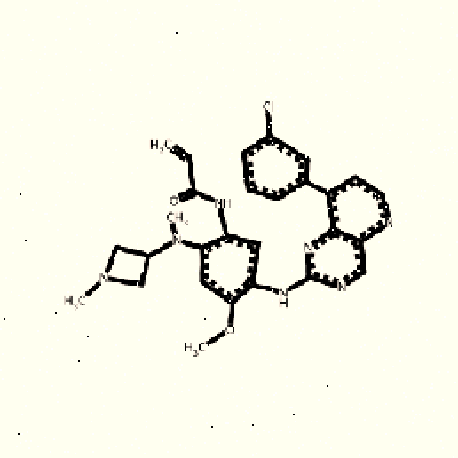 C=CC(=O)Nc1cc(Nc2ncc3nccc(-c4cccc(Cl)c4)c3n2)c(OC)cc1N(C)C1CN(C)C1